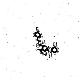 Cc1c[nH]c2c(Nc3cccc(Cl)c3)ncc(C(=O)NCc3ccc(F)cc3)c12